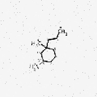 CCC[C@]1(C)CCC[C@H](N)C1